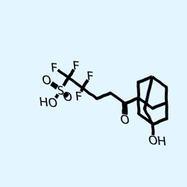 O=C(CCC(F)(F)C(F)(F)S(=O)(=O)O)C12CC3CC(CC(O)(C3)C1)C2